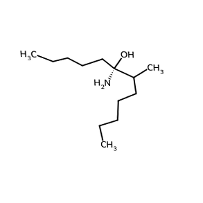 CCCCCC(C)[C@](N)(O)CCCCC